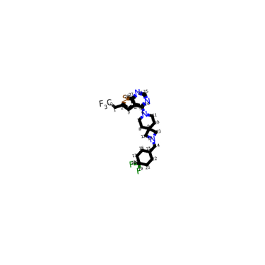 FC(F)(F)Cc1cc2c(N3CCC4(CC3)CN(CC3CCC(F)(F)CC3)C4)ncnc2s1